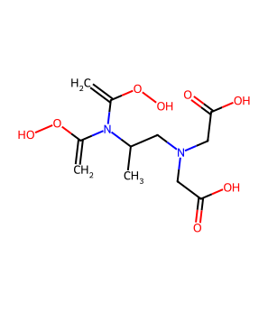 C=C(OO)N(C(=C)OO)C(C)CN(CC(=O)O)CC(=O)O